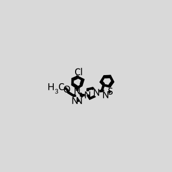 COCc1nnc(N2CCN(c3nsc4ccccc34)CC2)n1-c1ccc(Cl)cc1